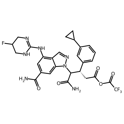 NC(=O)c1cc(NC2=NCC(F)CN2)c2cnn(C(C(N)=O)[C@@H](CC(=O)OC(=O)C(F)(F)F)c3cccc(C4CC4)c3)c2c1